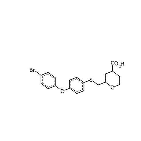 O=C(O)C1CCOC(CSc2ccc(Oc3ccc(Br)cc3)cc2)C1